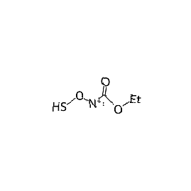 CCOC(=O)[N+]OS